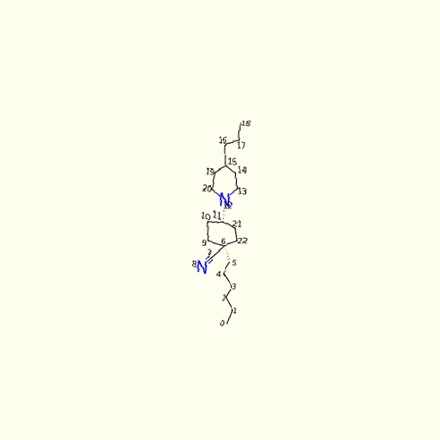 CCCCCC[C@]1(C#N)CC[C@H](N2CCC(CCC)CC2)CC1